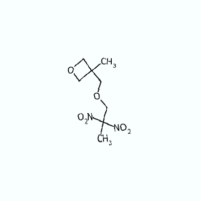 CC1(COCC(C)([N+](=O)[O-])[N+](=O)[O-])COC1